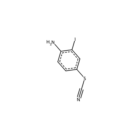 N#CSc1ccc(N)c(I)c1